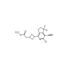 COC(=O)CC1CC(c2nc(Cl)c(C#N)c3c2CCC3(F)F)C1